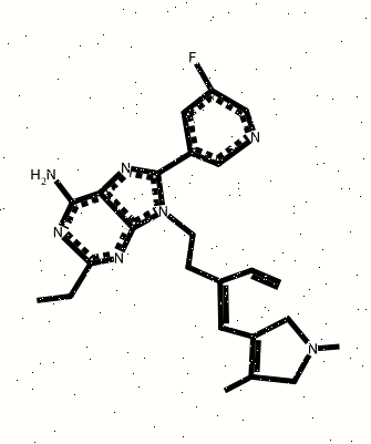 C=C/C(=C\C1=C(C)CN(C)C1)CCn1c(-c2cncc(F)c2)nc2c(N)nc(CC)nc21